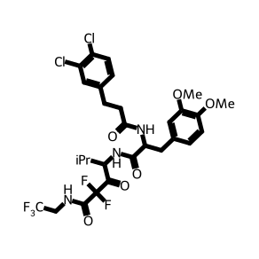 COc1ccc(CC(NC(=O)CCc2ccc(Cl)c(Cl)c2)C(=O)NC(C(=O)C(F)(F)C(=O)NCC(F)(F)F)C(C)C)cc1OC